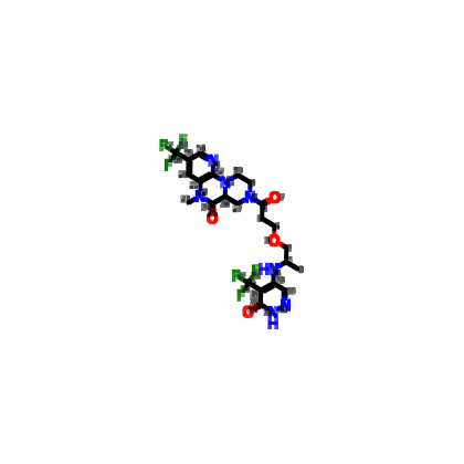 CC(COCCC(=O)N1CCN2c3ncc(C(F)(F)F)cc3N(C)C(=O)C2C1)Nc1cn[nH]c(=O)c1C(F)(F)F